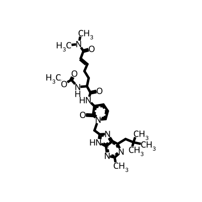 COC(=O)NC(CCC=CC(=O)N(C)C)C(=O)Nc1cccn(Cc2nc3c(CC(C)(C)C)nc(C)nc3[nH]2)c1=O